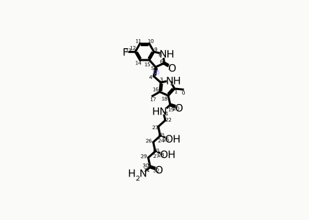 Cc1[nH]c(/C=C2\C(=O)Nc3ccc(F)cc32)c(C)c1C(=O)NCC[C@@H](O)C[C@@H](O)CC(N)=O